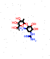 CC1C(O[C@@H]2C(N)CC(NC(=N)N)[C@@H](O)C2O)OC([C@@H](C)O)[C@@H](O)[C@H]1O